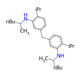 CCCCC(C)Nc1cc(Cc2ccc(C(C)C)c(NC(C)CCCC)c2)ccc1C(C)C